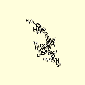 CCCc1cccc(NC(=O)NC2CCN(c3cc(Cc4nnc5n4-c4sc(C)c(C)c4C(c4ccc(Cl)cc4)=NC5CC(=O)Nc4ccc(C(C)(C)C)cc4)nc(Nc4ccc(F)cc4)n3)C2)c1